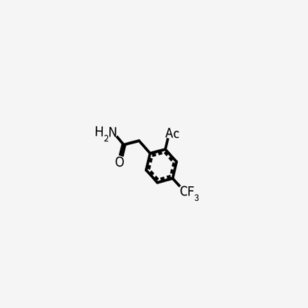 CC(=O)c1cc(C(F)(F)F)ccc1CC(N)=O